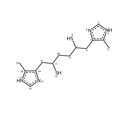 Cc1[nH]cnc1CC(S)CCC(S)Cc1nc[nH]c1C